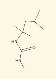 CNC(=O)NC(C)(C)CC(C)C